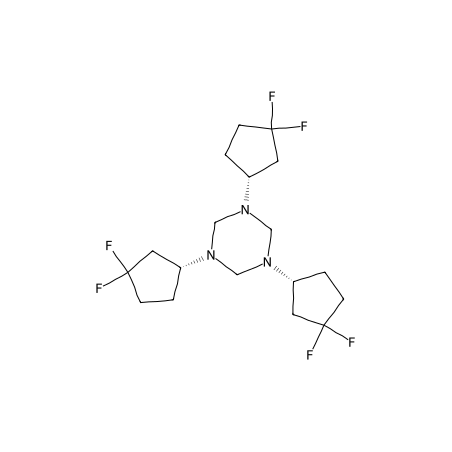 FC1(F)CC[C@@H](N2CN([C@@H]3CCC(F)(F)C3)CN([C@@H]3CCC(F)(F)C3)C2)C1